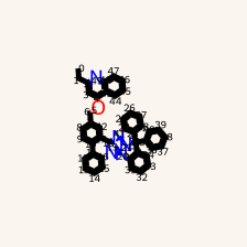 CCc1cc(OCc2ccc(-c3ccccc3)c(-c3nnn(C(c4ccccc4)(c4ccccc4)c4ccccc4)n3)c2)c2ccccc2n1